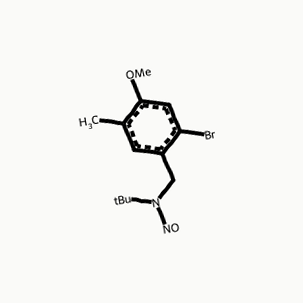 COc1cc(Br)c(CN(N=O)C(C)(C)C)cc1C